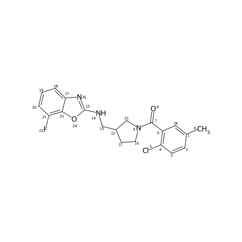 Cc1ccc(Cl)c(C(=O)N2CCC(CNc3nc4cccc(F)c4o3)C2)c1